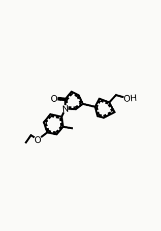 CCOc1ccc(-n2cc(-c3cccc(CO)c3)ccc2=O)c(C)c1